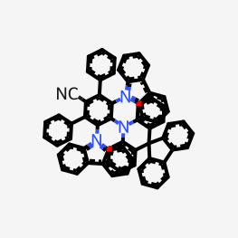 N#Cc1c(-c2ccccc2)c(-n2c3ccccc3c3ccccc32)c(N2c3ccccc3C3(c4ccccc4-c4ccccc43)c3ccccc32)c(-n2c3ccccc3c3ccccc32)c1-c1ccccc1